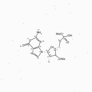 COC1[C@@H](COP(=O)(O)OC)O[C@@H](n2cnc3c(=O)oc(N)nc32)[C@H]1C